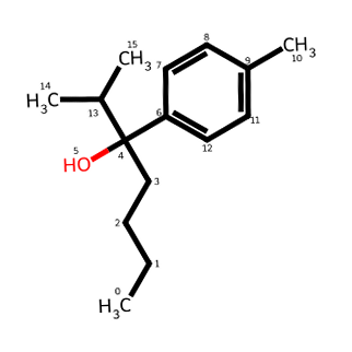 CCCCC(O)(c1ccc(C)cc1)C(C)C